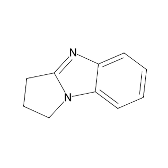 c1ccc2c(c1)nc1n2CCC1